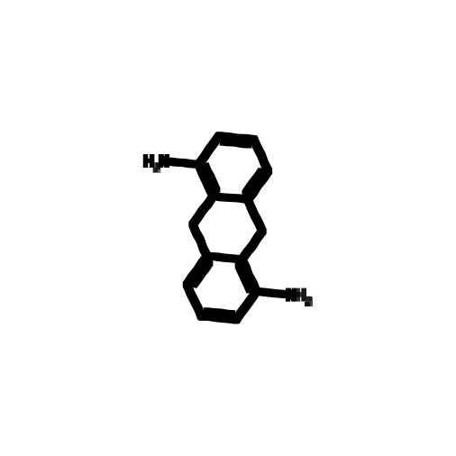 Nc1cccc2c1Cc1cccc(N)c1C2